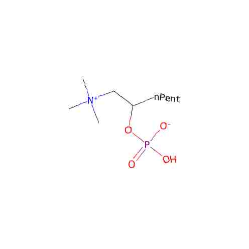 CCCCCC(C[N+](C)(C)C)OP(=O)([O-])O